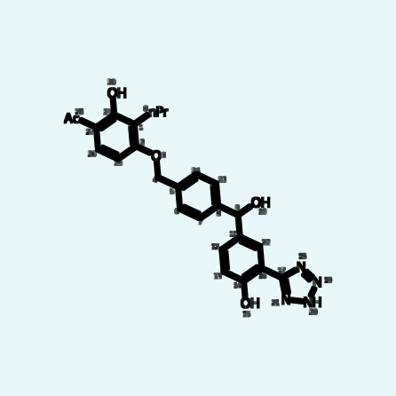 CCCc1c(OCc2ccc(C(O)c3ccc(O)c(-c4nn[nH]n4)c3)cc2)ccc(C(C)=O)c1O